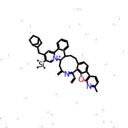 C=C/C1=N/C(=C)CC2C(CCc3ccc4c(oc5nc(C)ccc54)c31)c1ccccc1-c1cc(CC3CC4CCC3C4)c([Si](C)(C)C)c[n+]12